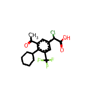 CC(=O)c1cc(C(Cl)C(=O)O)cc(C(F)(F)F)c1C1CCCCC1